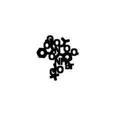 COc1cc(Br)cc2c1OC(C(C)C)C(=O)N(C(Cc1ccccc1)C1=COCO1)C2C(=O)NCC(=O)OC(C)(C)C